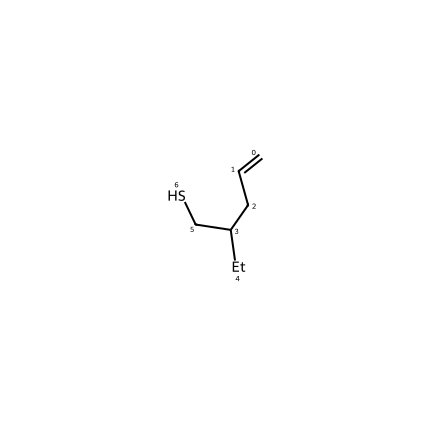 C=CCC(CC)CS